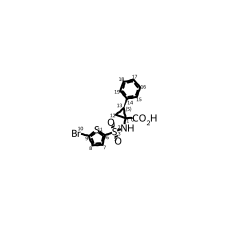 O=C(O)C1(NS(=O)(=O)c2ccc(Br)s2)C[C@H]1c1ccccc1